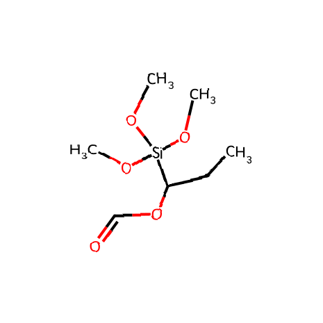 CCC(OC=O)[Si](OC)(OC)OC